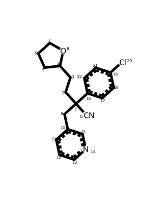 N#CC(CCC1CCCO1)(Cc1cccnc1)c1ccc(Cl)cc1